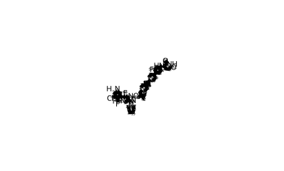 Nc1cc(Cl)c(C(F)(F)F)c(-c2ncc3c(N4CC5CCC(C4)N5)nc(OCC4(CN5CCC6(CC5)CC(N5CCC(c7ccc(NC8CCC(=O)NC8=O)cc7F)CC5)C6)CC4)nc3c2F)c1